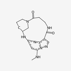 CNc1cc2nc3c(cnn13)C(=O)NCCC(=O)N1CCCC(C1)N2